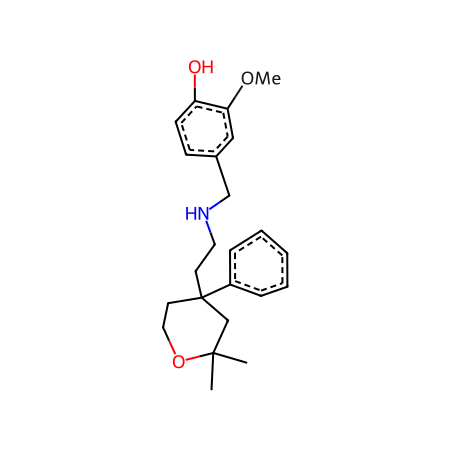 COc1cc(CNCCC2(c3ccccc3)CCOC(C)(C)C2)ccc1O